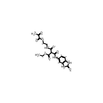 CCOC(=O)C(C(=O)NCCOC(=O)C(C)=O)C(=O)Nc1ccc2[nH]c(=O)[nH]c2c1